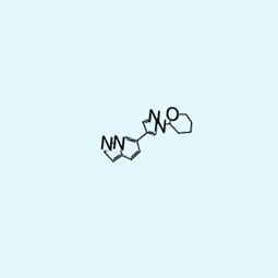 c1cc2ccc(-c3cnn(C4CCCCO4)c3)cn2n1